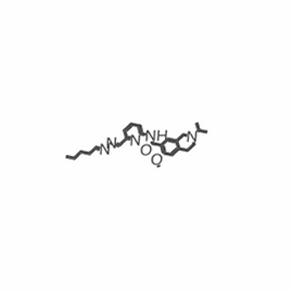 CCCC/C=N/N=C/c1cccc(NC(=O)c2cc3c(cc2OC)CCN(C(C)C)C3)n1